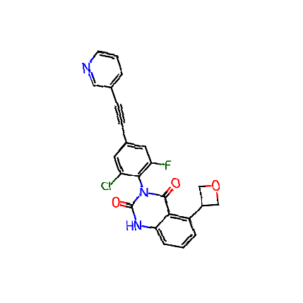 O=c1[nH]c2cccc(C3COC3)c2c(=O)n1-c1c(F)cc(C#Cc2cccnc2)cc1Cl